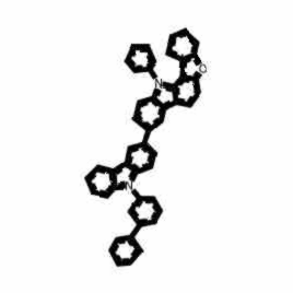 c1ccc(-c2cccc(-n3c4ccccc4c4cc(-c5ccc6c(c5)c5ccc7oc8ccccc8c7c5n6-c5ccccc5)ccc43)c2)cc1